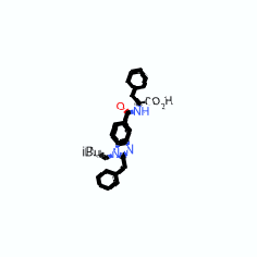 CCC(C)Cn1c(CC2CCCCC2)nc2cc(C(=O)N[C@@H](CC3CCCCC3)C(=O)O)ccc21